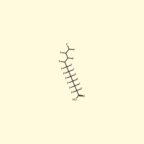 O=C(O)C(F)(F)C(F)(F)C(F)(F)C(F)(F)C(F)(F)C(F)(F)C(F)C(F)C(F)C(F)F